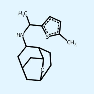 Cc1ccc(C(C)NC2CC3CC4CCC2C(C4)C3)s1